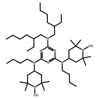 CCCCC(CC)CN(CC(CC)CCCC)c1nc(N(CCCC)C2CC(C)(C)N(O)C(C)(C)C2)nc(N(CCCC)C2CC(C)(C)N(O)C(C)(C)C2)n1